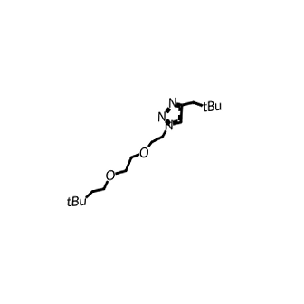 CC(C)(C)CCOCCOCCn1cc(CC(C)(C)C)nn1